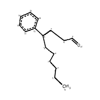 CCCCCCC(CC[C]=O)c1ccccc1